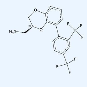 NC[C@H]1COc2cccc(-c3ccc(C(F)(F)F)cc3C(F)(F)F)c2O1